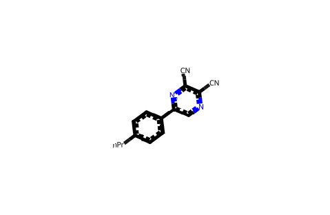 CCCc1ccc(-c2cnc(C#N)c(C#N)n2)cc1